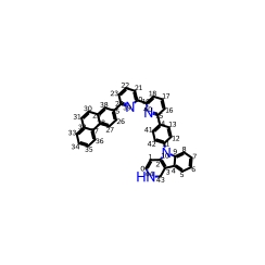 C1=Cc2c(c3ccccc3n2-c2ccc(-c3cccc(-c4cccc(-c5ccc6c(ccc7ccccc76)c5)n4)n3)cc2)CN1